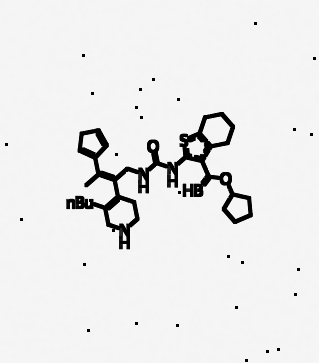 B=C(OC1CCCC1)c1c(NC(=O)NC/C(C2=C(CCCC)CNCC2)=C(/C)C2=CCC=C2)sc2c1CCCC2